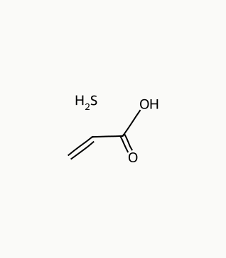 C=CC(=O)O.S